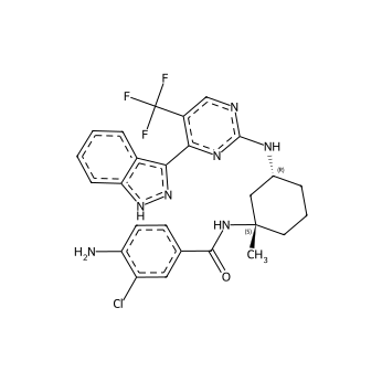 C[C@]1(NC(=O)c2ccc(N)c(Cl)c2)CCC[C@@H](Nc2ncc(C(F)(F)F)c(-c3n[nH]c4ccccc34)n2)C1